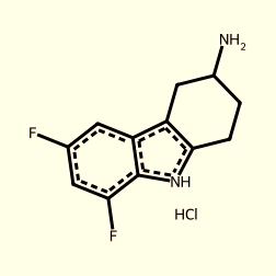 Cl.NC1CCc2[nH]c3c(F)cc(F)cc3c2C1